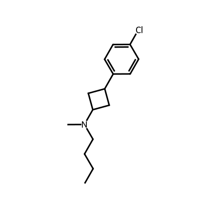 CCCCN(C)C1CC(c2ccc(Cl)cc2)C1